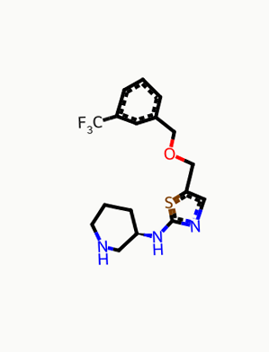 FC(F)(F)c1cccc(COCc2cnc(N[C@@H]3CCCNC3)s2)c1